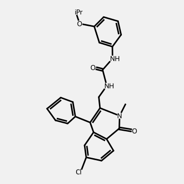 CC(C)Oc1cccc(NC(=O)NCc2c(-c3ccccc3)c3cc(Cl)ccc3c(=O)n2C)c1